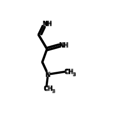 CN(C)CC(=N)C=N